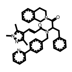 Cc1nn(C)c(C)c1C=CC(=O)N(Cc1ccc(-c2ccccn2)cc1)C(Cc1ccccc1)C(=O)N1CCc2ccccc2C1